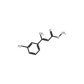 COC(=O)/C=C(\C)c1cccc(N)c1